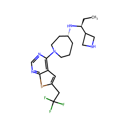 CC[C@H](N[C@@H]1CCCN(c2ncnc3sc(CC(F)(F)F)cc23)CC1)C1CNC1